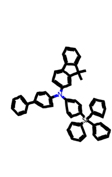 CC1(C)c2ccccc2-c2ccc(N(c3ccc(-c4ccccc4)cc3)c3ccc([Si](c4ccccc4)(c4ccccc4)c4ccccc4)cc3)cc21